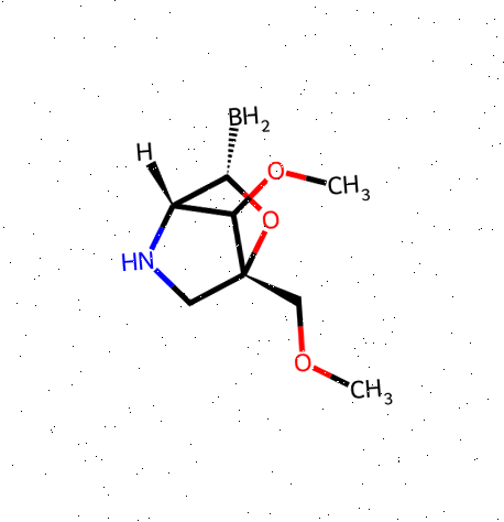 B[C@@H]1O[C@]2(COC)CN[C@H]1C2OC